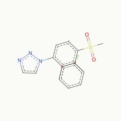 CS(=O)(=O)c1[c]cc(-n2ccnn2)c2c3ccc(c(F)c3)c12